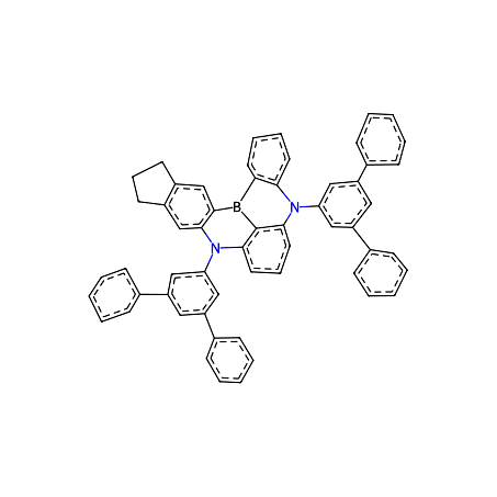 c1ccc(-c2cc(-c3ccccc3)cc(N3c4ccccc4B4c5cc6c(cc5N(c5cc(-c7ccccc7)cc(-c7ccccc7)c5)c5cccc3c54)CCC6)c2)cc1